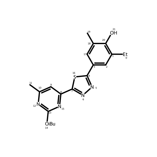 CCc1cc(-c2nnc(-c3cc(C)nc(OCC(C)C)n3)s2)cc(C)c1O